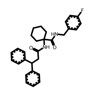 O=C(CC(c1ccccc1)c1ccccc1)NC1(C(=O)NCc2ccc(F)cc2)CCCCC1